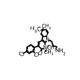 CC1(C)C=CC2C(=C1)C1=C(N2CCCN)[N+](C)(C)C(=O)C(c2ccc(Cl)cc2Cl)=C1